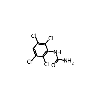 NC(=O)Nc1c(Cl)c(Cl)cc(Cl)c1Cl